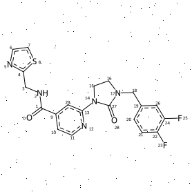 O=C(NCc1nccs1)c1ccnc(N2CCN(Cc3ccc(F)c(F)c3)C2=O)c1